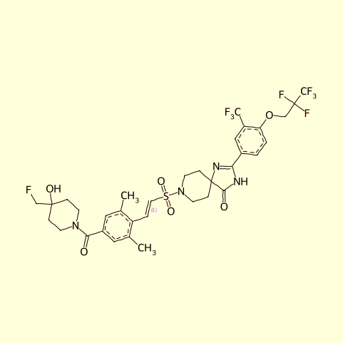 Cc1cc(C(=O)N2CCC(O)(CF)CC2)cc(C)c1/C=C/S(=O)(=O)N1CCC2(CC1)N=C(c1ccc(OCC(F)(F)C(F)(F)F)c(C(F)(F)F)c1)NC2=O